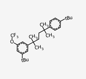 CC(C)(C)c1ccc(C(C)(C)CCC(C)(C)c2cc(OC(F)(F)F)cc(C(C)(C)C)c2)cc1